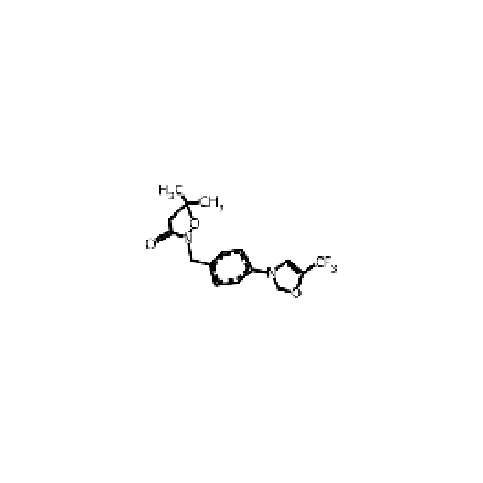 CC1(C)CC(=O)N(Cc2ccc(N3C=C(C(F)(F)F)OC3)cc2)O1